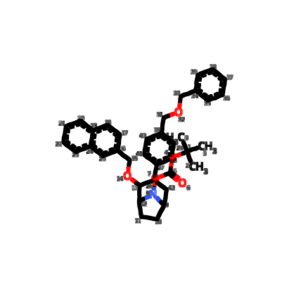 CC(C)(C)OC(=O)ON1C2CCC1C(OCc1ccc3ccccc3c1)C(c1ccc(COCc3ccccc3)cc1)C2